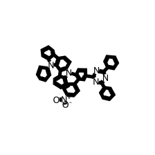 O=[N+]([O-])c1ccc(-c2cc(-c3nc(-c4ccccc4)nc(-c4ccccc4)n3)ccc2-n2c3ccccc3c3c2ccc2c4ccccc4n(-c4ccccc4)c23)cc1